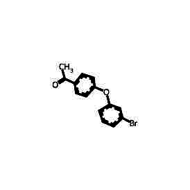 CC(=O)c1ccc(Oc2cccc(Br)c2)cc1